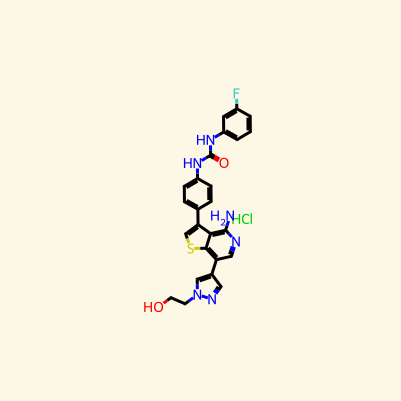 Cl.Nc1ncc(-c2cnn(CCO)c2)c2scc(-c3ccc(NC(=O)Nc4cccc(F)c4)cc3)c12